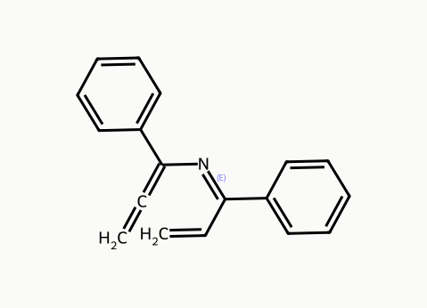 C=C=C(/N=C(\C=C)c1ccccc1)c1ccccc1